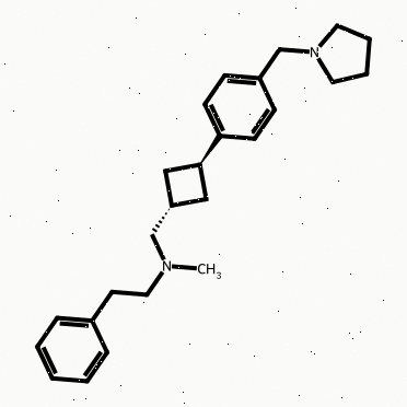 CN(CCc1ccccc1)C[C@H]1C[C@H](c2ccc(CN3CCCC3)cc2)C1